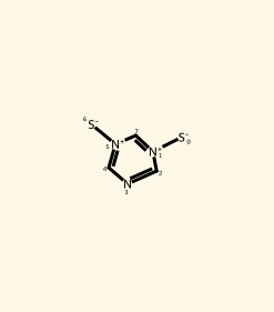 [S-][n+]1cnc[n+]([S-])c1